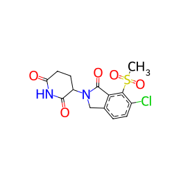 CS(=O)(=O)c1c(Cl)ccc2c1C(=O)N(C1CCC(=O)NC1=O)C2